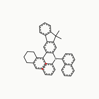 CC1(C)c2ccccc2-c2cc(-c3cccc4c3CCCC4)c(N(c3ccccc3)c3cccc4ccccc34)cc21